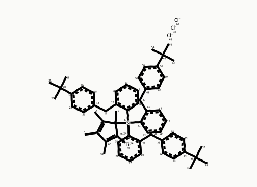 CC1=C(C)C(C)([Si](c2ccccc2Cc2ccc(C(C)(C)C)cc2)(c2ccccc2Cc2ccc(C(C)(C)C)cc2)c2ccccc2Cc2ccc(C(C)(C)C)cc2)[C]([Ti+3])=C1C.[Cl-].[Cl-].[Cl-]